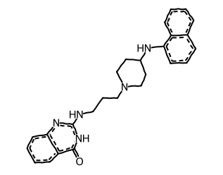 O=c1[nH]c(NCCCN2CCC(Nc3cccc4ccccc34)CC2)nc2ccccc12